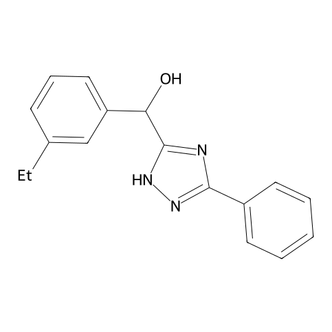 CCc1cccc(C(O)c2nc(-c3ccccc3)n[nH]2)c1